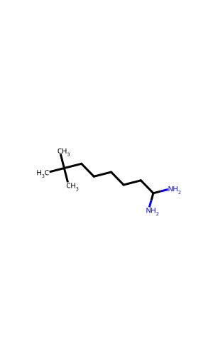 CC(C)(C)CCCCCC(N)N